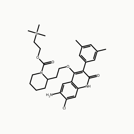 Cc1cc(C)cc(-c2c(OCCC3CCCCN3C(=O)OCC[Si](C)(C)C)c3cc(N)c(Cl)cc3[nH]c2=O)c1